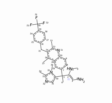 CN/C(=C\N)C(C)(c1ccc2nc(C)c(Cc3ccc(C(F)(F)F)cc3)c(C)c2c1)c1cnc(C)n1C